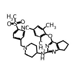 Cc1cc(C#N)cc(C)c1Oc1nc(NC2CCN(Cc3ccc(S(C)(=O)=O)cc3)CC2)nc2c1CCC2